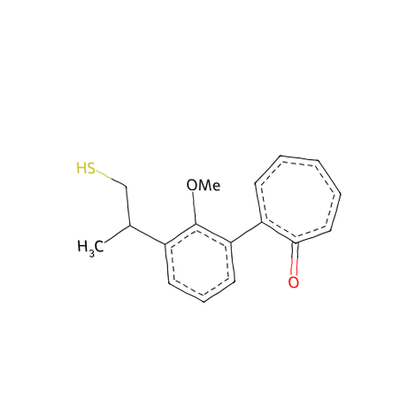 COc1c(-c2cccccc2=O)cccc1C(C)CS